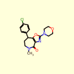 CN1CCC(c2ccc(Cl)cc2)c2oc(N3CCOCC3)nc2C1=O